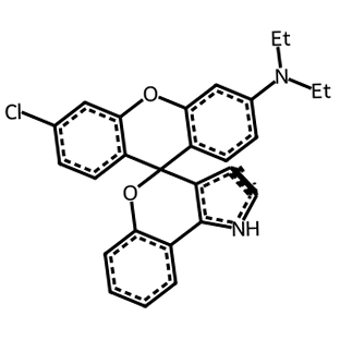 CCN(CC)c1ccc2c(c1)Oc1cc(Cl)ccc1C21Oc2ccccc2-c2[nH]c3ccccc3c21